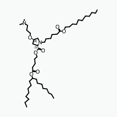 CCCCCCCCCCCOC(=O)CCCCCN1C[C@H](OCCCN(C)C)C[C@H]1C(=O)OCCCCC(=O)OC(CCCCCCCC)CCCCCCCC